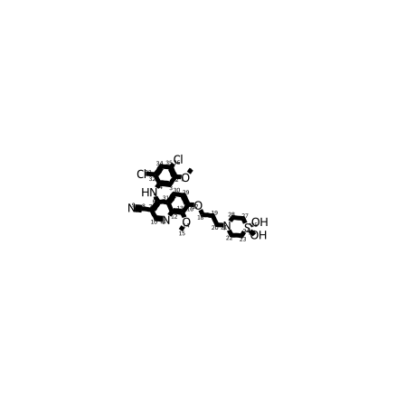 COc1cc(Nc2c(C#N)cnc3c(OC)c(OCCCN4CCS(O)(O)CC4)ccc23)c(Cl)cc1Cl